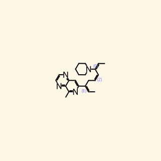 C/C=C(\C/C=C\C(=C/C)N1CCCCC1)c1cc2nccnc2c(C)n1